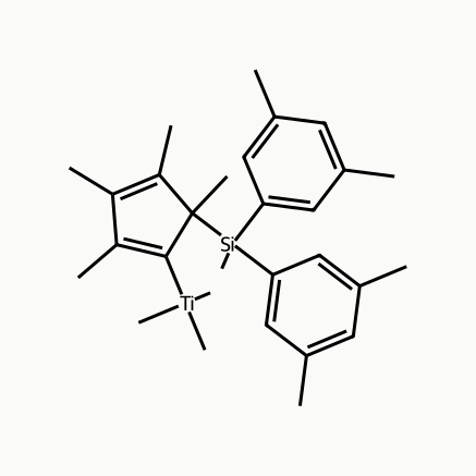 CC1=C(C)C(C)([Si](C)(c2cc(C)cc(C)c2)c2cc(C)cc(C)c2)[C]([Ti]([CH3])([CH3])[CH3])=C1C